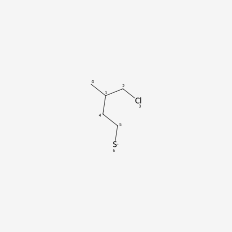 CC(CCl)CC[S]